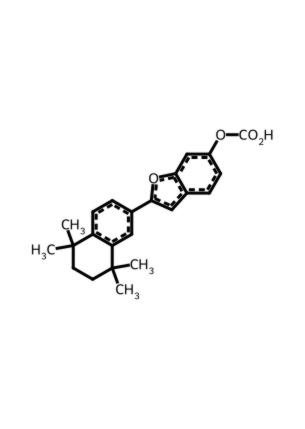 CC1(C)CCC(C)(C)c2cc(-c3cc4ccc(OC(=O)O)cc4o3)ccc21